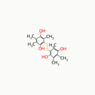 Cc1c(C)c(O)c(SSc2c(C)c(O)c(C)c(C)c2O)c(C)c1O